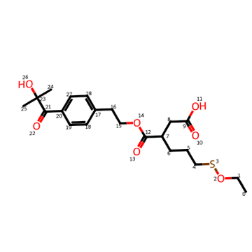 CCOSCCCC(CC(=O)O)C(=O)OCCc1ccc(C(=O)C(C)(C)O)cc1